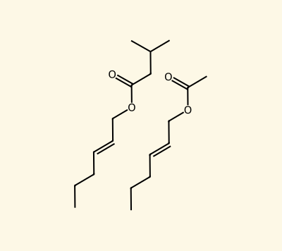 CCC/C=C/COC(C)=O.CCCC=CCOC(=O)CC(C)C